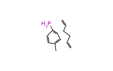 C=CCCC=C.Cc1ccc(P)cc1